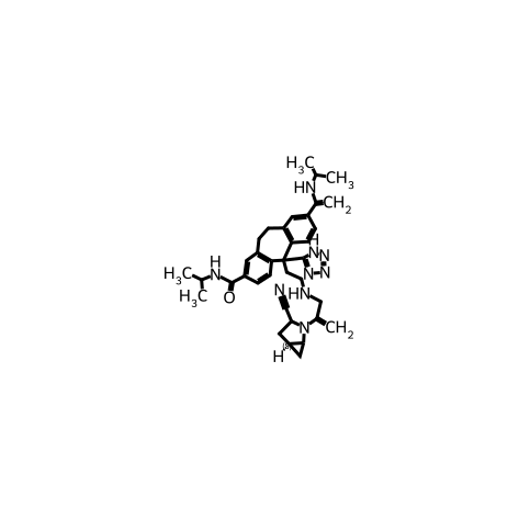 C=C(NC(C)C)c1ccc2c(c1)CCc1cc(C(=O)NC(C)C)ccc1C2(CCNCC(=C)N1C(C#N)C[C@@H]2CC21)c1nnn[nH]1